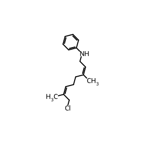 CC(=CCCC(C)=CCNc1ccccc1)CCl